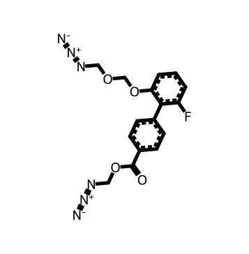 [N-]=[N+]=NCOCOc1cccc(F)c1-c1ccc(C(=O)OCN=[N+]=[N-])cc1